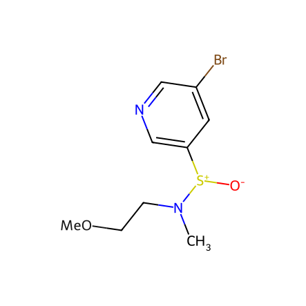 COCCN(C)[S+]([O-])c1cncc(Br)c1